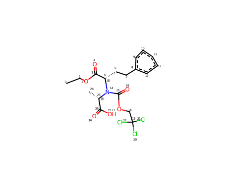 CCOC(=O)[C@H](CCc1ccccc1)N(C(=O)OCC(Cl)(Cl)Cl)[C@@H](C)C(=O)O